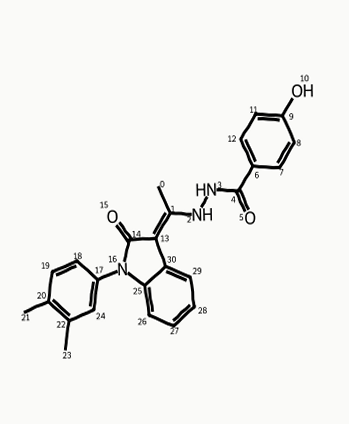 CC(NNC(=O)c1ccc(O)cc1)=C1C(=O)N(c2ccc(C)c(C)c2)c2ccccc21